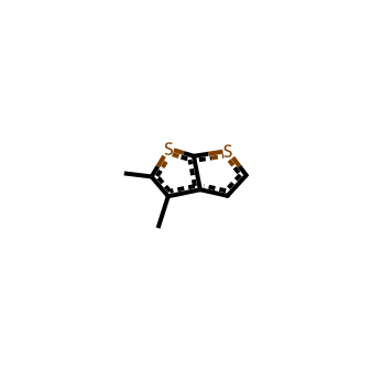 Cc1sc2sccc2c1C